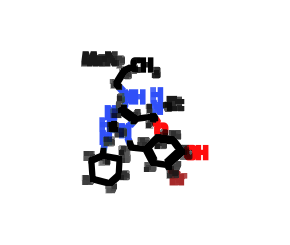 CCNC(=O)c1c(NC[C@@H](C)NC)nc(NC2CCCCC2)n1Cc1ccc(O)c(Br)c1